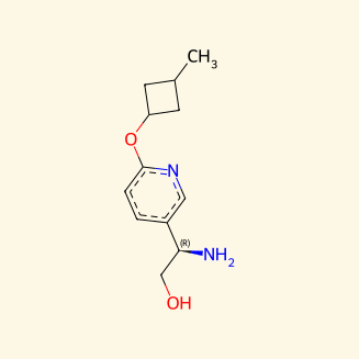 CC1CC(Oc2ccc([C@@H](N)CO)cn2)C1